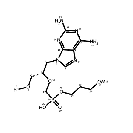 CCOC[C@H](Cn1cnc2c(N)nc(N)nc21)OCP(=O)(O)OCCCOC